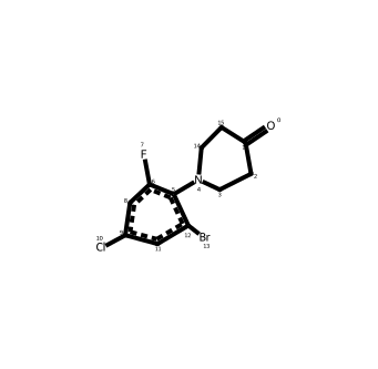 O=C1CCN(c2c(F)cc(Cl)cc2Br)CC1